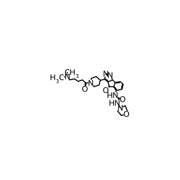 CN(C)CCCCC(=O)N1CCC(C2=C3C(=O)c4c(NC(=O)NN5CCOCC5)cccc4C3N=N2)CC1